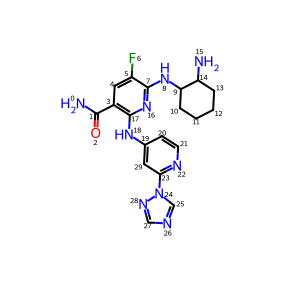 NC(=O)c1cc(F)c(NC2CCCCC2N)nc1Nc1ccnc(-n2cncn2)c1